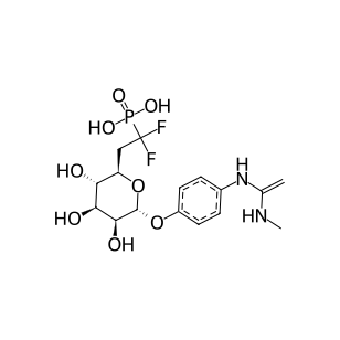 C=C(NC)Nc1ccc(O[C@H]2O[C@H](CC(F)(F)P(=O)(O)O)[C@@H](O)[C@H](O)[C@@H]2O)cc1